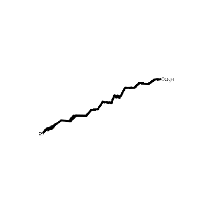 CCC=CCC=CCCCCCC=CCCCCCC(=O)O